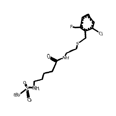 CC(C)(C)S(=O)(=O)NCCCCC(=O)NCCSCc1c(F)cccc1Cl